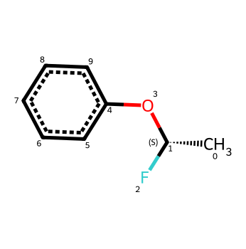 C[C@H](F)Oc1ccccc1